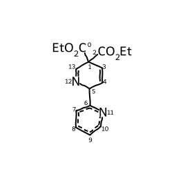 CCOC(=O)C1(C(=O)OCC)C=CC(c2ccccn2)N=C1